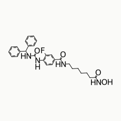 O=C(CCCCCCNC(=O)c1ccc(NC(=O)NC(c2ccccc2)c2ccccc2)c(F)c1)NO